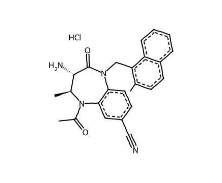 CC(=O)N1c2cc(C#N)ccc2N(Cc2c(C)ccc3ccccc23)C(=O)[C@@H](N)[C@@H]1C.Cl